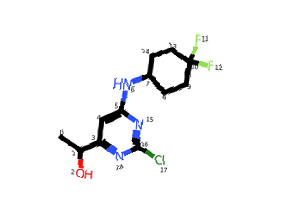 CC(O)c1cc(NC2CCC(F)(F)CC2)nc(Cl)n1